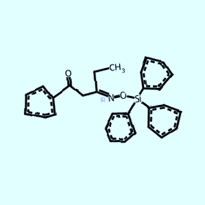 CC/C(CC(=O)c1ccccc1)=N\O[Si](c1ccccc1)(c1ccccc1)c1ccccc1